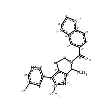 CC1c2nn(C)c(-c3cncc(F)c3)c2CCN1C(=O)c1ccc2nccnc2c1